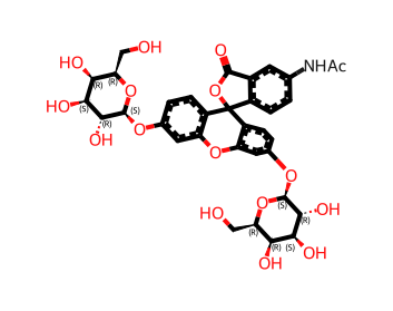 CC(=O)Nc1ccc2c(c1)C(=O)OC21c2ccc(O[C@@H]3O[C@H](CO)[C@H](O)[C@H](O)[C@H]3O)cc2Oc2cc(O[C@@H]3O[C@H](CO)[C@H](O)[C@H](O)[C@H]3O)ccc21